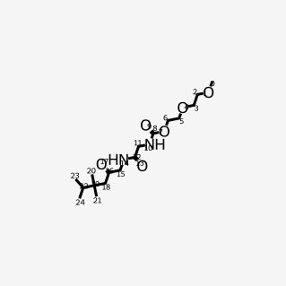 COCCOCCOC(=O)NCC(=O)NCC(=O)CC(C)(C)C(C)C